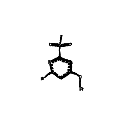 CC(C)Oc1cc(Br)nc(S(C)(=O)=O)c1